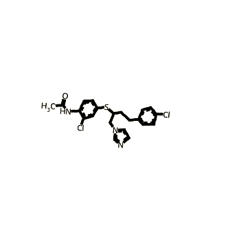 CC(=O)Nc1ccc(SC(CCc2ccc(Cl)cc2)Cn2ccnc2)cc1Cl